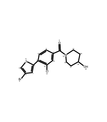 O=C(c1ccc(-c2cc(Br)cs2)c(Cl)c1)N1CCC(O)CC1